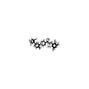 Cc1cnn(C)c1-c1ncc(F)c(N2CCC(C(=O)NCc3cc(F)cc(F)c3F)CC2)n1